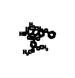 COc1ccc(S(=O)(=O)C(c2ccc(Oc3ccccc3)cc2)C(C(=O)NO)C(C)C)cc1OC